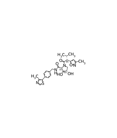 Cc1cc([C@H](C(=O)N2C[C@H](O)[C@H](O)[C@H]2C(=O)NCc2ccc(-c3scnc3C)cc2)C(C)C)on1